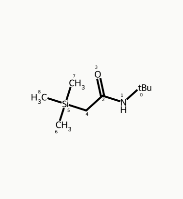 CC(C)(C)NC(=O)C[Si](C)(C)C